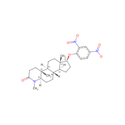 CN1C(=O)CC[C@]2(C)[C@H]3CC[C@]4(C)[C@@H](Oc5ccc([N+](=O)[O-])cc5[N+](=O)[O-])CC[C@H]4[C@@H]3CC[C@@H]12